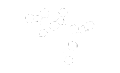 CC1(C)c2ccccc2-c2ccc(-c3cc(-n4c5ccccc5c5c(-c6cccc7c8ccccc8n(-c8ccccc8)c67)cccc54)cc4c3sc3ccccc34)cc21